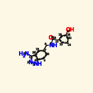 Nc1n[nH]c2ccc(CNC(=O)c3cccc(O)c3)cc12